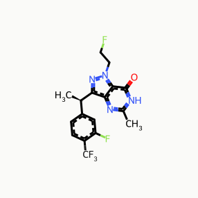 Cc1nc2c([C@H](C)c3ccc(C(F)(F)F)c(F)c3)nn(CCF)c2c(=O)[nH]1